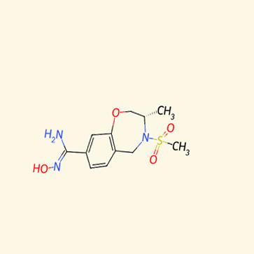 C[C@H]1COc2cc(C(N)=NO)ccc2CN1S(C)(=O)=O